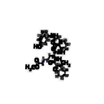 COC(=O)/C=C/CC[C@H](NC(=O)c1oc2ccccc2c1C)C(=O)Nc1cccn(CC(=O)NC2C3CC4CC2CC(O)(C4)C3)c1=O